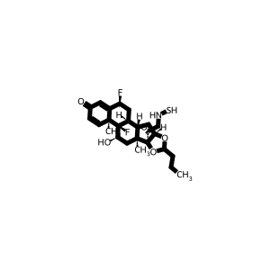 CCCC1O[C@@H]2C[C@H]3[C@@H]4C[C@H](F)C5=CC(=O)C=C[C@]5(C)[C@@]4(F)[C@@H](O)C[C@]3(C)[C@]2(C(=O)CNS)O1